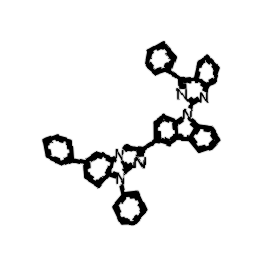 c1ccc(-c2ccc3c(c2)n2cc(-c4ccc5c(c4)c4ccccc4n5-c4nc(-c5ccccc5)c5ccccc5n4)nc2n3-c2ccccc2)cc1